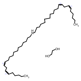 CCCCC/C=C\C/C=C\CCCCCCCCCCCNCCCCCCCCCCC/C=C\C/C=C\CCCCC.OCCO